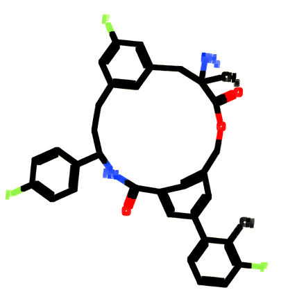 CC1(N)Cc2cc(F)cc(c2)CCC(c2ccc(F)cc2)NC(=O)c2cc(cc(-c3cccc(F)c3C#N)c2)COC1=O